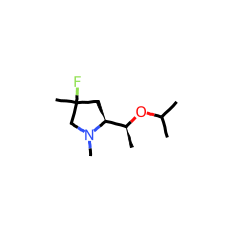 CC(C)O[C@@H](C)[C@@H]1CC(C)(F)CN1C